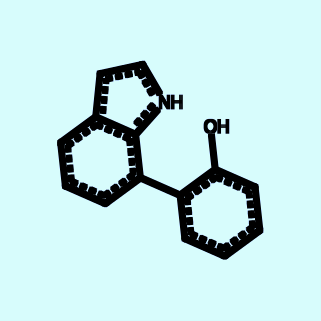 Oc1ccccc1-c1cccc2cc[nH]c12